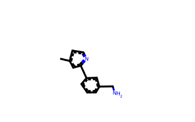 Cc1ccnc(-c2cccc(CN)c2)c1